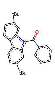 CC(C)(C)c1ccc2c3ccc(C(C)(C)C)cc3n(C(=O)c3ccccc3)c2c1